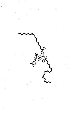 CC/C=C\C/C=C\C/C=C\C/C=C\CCCCC(=O)O[C@H](COC(=O)CCCCCCC/C=C\CCCCCCC)COP(=O)([O-])OCC[N+](C)(C)C